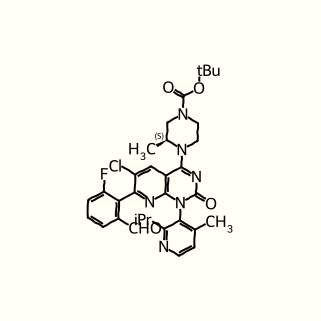 Cc1ccnc(C(C)C)c1-n1c(=O)nc(N2CCN(C(=O)OC(C)(C)C)C[C@@H]2C)c2cc(Cl)c(-c3c(F)cccc3C=O)nc21